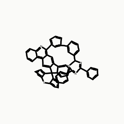 c1ccc(C2=NC(c3cccc(-c4cccc(-c5nc6ccccc6c6cc7c(cc56)-c5ccccc5C75c6ccccc6Sc6ccccc65)c4)c3)NC(c3ccccc3)=N2)cc1